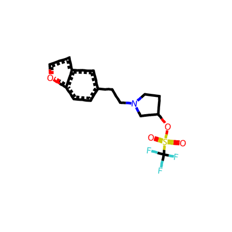 O=S(=O)(OC1CCN(CCc2ccc3occc3c2)C1)C(F)(F)F